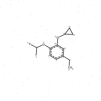 CCc1ccc(OC(F)F)c(OC2CC2)c1